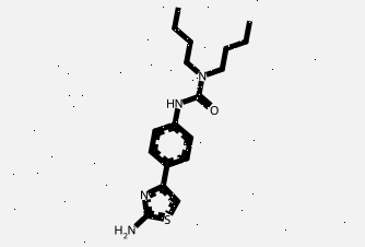 CCCCN(CCCC)C(=O)Nc1ccc(-c2csc(N)n2)cc1